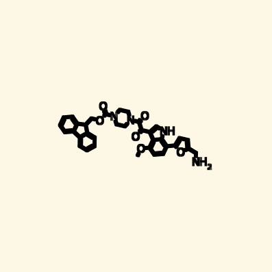 COc1ccc(-c2ccc(CN)o2)c2[nH]cc(C(=O)C(=O)N3CCN(C(=O)OCC4c5ccccc5-c5ccccc54)CC3)c12